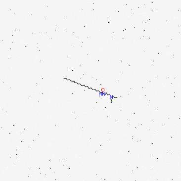 CCCCCCCCCCCCCCCCCCCCCC(=O)NCCCN(CCC)CCC